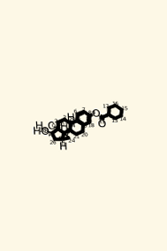 C[C@]12CC[C@@H]3c4ccc(OC(=O)C5CCCCC5)cc4CC[C@H]3[C@@]13C[C@H]3C[C@@H]2O